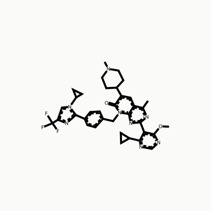 COc1ncnc(C2CC2)c1-c1nc(C)c2cc(C3CCN(C)CC3)c(=O)n(Cc3ccc(-c4nc(C(F)(F)F)cn4C4CC4)cc3)c2n1